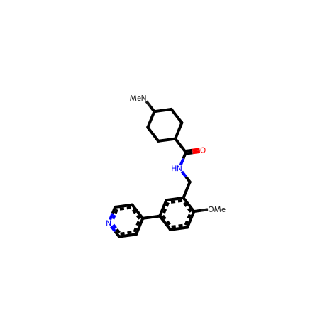 CNC1CCC(C(=O)NCc2cc(-c3ccncc3)ccc2OC)CC1